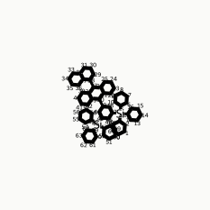 c1ccc([Si](c2ccccc2)(c2ccccc2)c2cc(-c3c4ccccc4c(-c4cccc5ccccc45)c4ccccc34)cc([Si](c3ccccc3)(c3ccccc3)c3ccccc3)c2)cc1